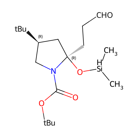 C[SiH](C)O[C@]1(CCC=O)C[C@H](C(C)(C)C)CN1C(=O)OC(C)(C)C